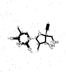 C#C[C@]1(CO)O[C@@H](n2cc(C)c(=O)[nH]c2=O)C(C)[C@@H]1O